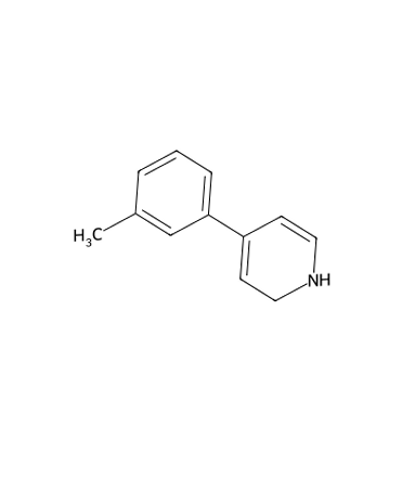 Cc1cccc(C2=CCNC=C2)c1